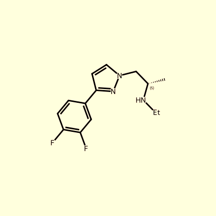 CCN[C@@H](C)Cn1ccc(-c2ccc(F)c(F)c2)n1